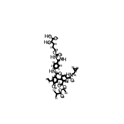 C=Cc1cc(C(=O)Nc2ccc(C(=N)NC(=O)OCCCC(O)C(=O)O)cc2)c(-c2ccc(C(=O)NCC3CC3)nc2C(=O)OC(C)OC(=O)C(C)C)cc1OC